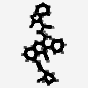 Cc1nn2cccnc2c1C(=O)N[C@@H](C)c1cc2cccc(C#Cc3cncn3C)c2c(=O)n1-c1ccccc1